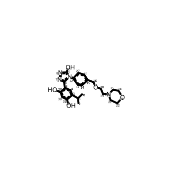 CC(C)c1cc(-c2nnc(O)n2-c2ccc(COCCN3CCOCC3)cc2)c(O)cc1O